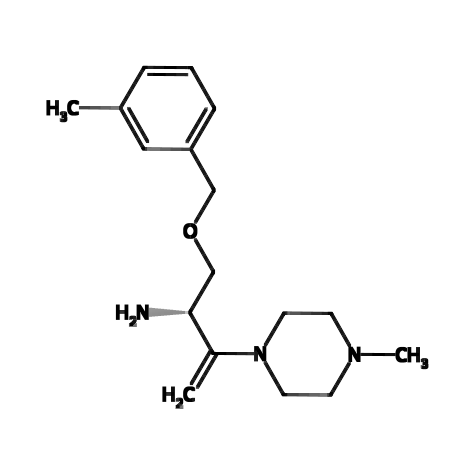 C=C([C@H](N)COCc1cccc(C)c1)N1CCN(C)CC1